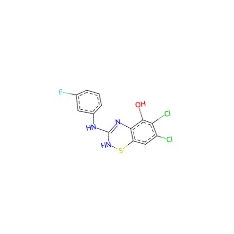 Oc1c(Cl)c(Cl)cc2c1N=C(Nc1cccc(F)c1)NS2